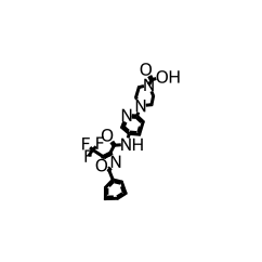 O=C(Nc1ccc(N2CCN(C(=O)O)CC2)nc1)c1nc(-c2ccccc2)oc1C(F)(F)F